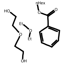 CCCCCCOC(=O)c1ccccc1.CCOCC.OCCOCCO